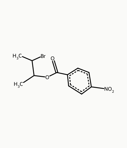 CC(Br)C(C)OC(=O)c1ccc([N+](=O)[O-])cc1